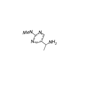 CNc1ncc(C(C)N)cn1